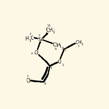 CCO/C(=C/Cl)O[Si](C)(C)C